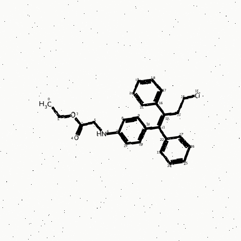 CCOC(=O)CNc1ccc(C(=C(CCCl)c2ccccc2)c2ccccc2)cc1